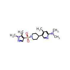 Cc1cc(N(C)C)ncc1C1CCN(S(=O)(=O)c2cnn(C)c2C)CC1